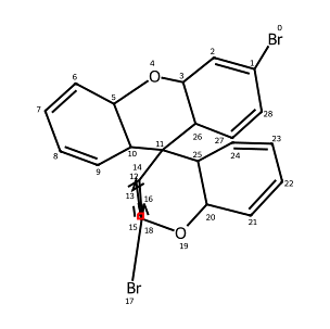 BrC1=CC2OC3C=CC=CC3C3(c4cccc(Br)c4OC4C=CC=CC43)C2C=C1